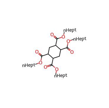 CCCCCCCOC(=O)C1CC(C(=O)OCCCCCCC)C(C(=O)OCCCCCCC)CC1C(=O)OCCCCCCC